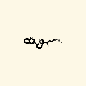 CCCCC(=O)c1cnn2c(-c3cnc4ccccc4c3)cccc12